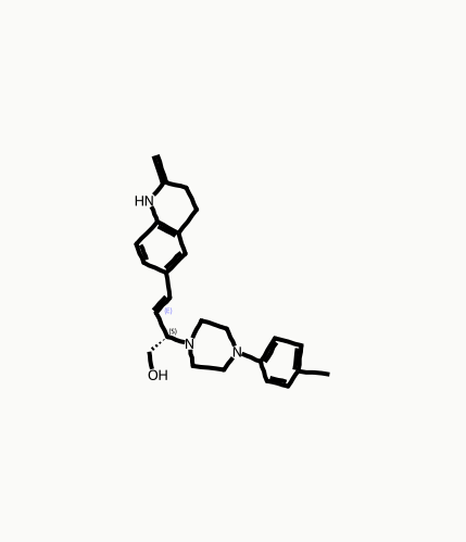 C=C1CCc2cc(/C=C/[C@@H](CO)N3CCN(c4ccc(C)cc4)CC3)ccc2N1